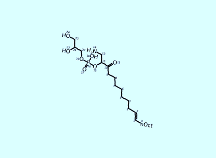 CCCCCCCC/C=C/CCCCCCCC(=O)C(CN)OP(=O)(O)OCC(O)CO